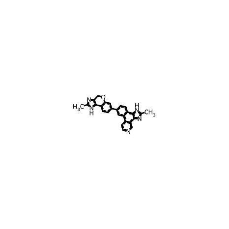 Cc1nc2c([nH]1)-c1ccc(-c3ccc4c(c3)c3ccncc3c3nc(C)[nH]c43)cc1OC2